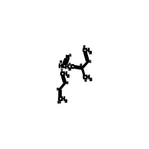 C#N.C=CC(=C)C.C=CC=C